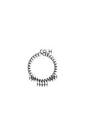 O=C(O)C1CCCCCCCCCCCCNNNNNNNNNCCCCCCCCCCCC1